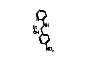 CCO.O=[N+]([O-])c1ccc(CNc2ccccn2)cc1